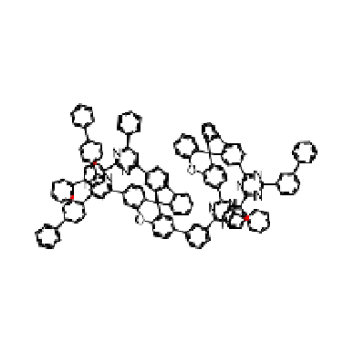 c1ccc(-c2ccc(-c3cc(-c4ccc5c(c4)Oc4ccc(-c6cccc(-c7nc(-c8ccccc8)nc(-c8ccc9c(c8)Oc8ccccc8C98c9ccccc9-c9ccc(-c%10nc(-c%11ccccc%11)nc(-c%11cccc(-c%12ccccc%12)c%11)n%10)cc98)n7)c6)cc4C54c5ccccc5-c5ccc(-c6cc(-c7ccccc7)nc(-c7ccc(-c8ccccc8)cc7)n6)cc54)nc(-c4ccc(-c5ccccc5)cc4)n3)cc2)cc1